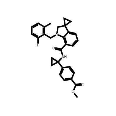 COC(=O)c1ccc(C2(NC(=O)c3cccc4c3N(Cc3c(C)cccc3F)CC43CC3)CC2)cc1